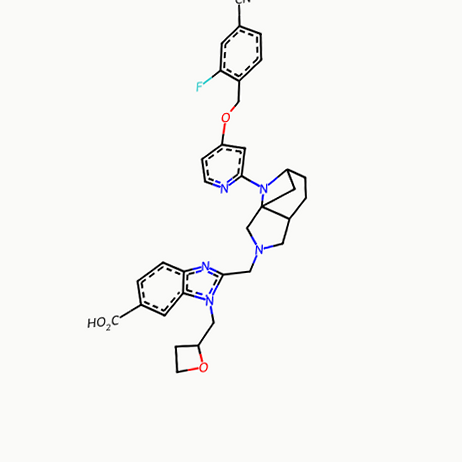 N#Cc1ccc(COc2ccnc(N3C4CCC5CN(Cc6nc7ccc(C(=O)O)cc7n6CC6CCO6)CC53C4)c2)c(F)c1